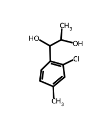 Cc1ccc(C(O)C(C)O)c(Cl)c1